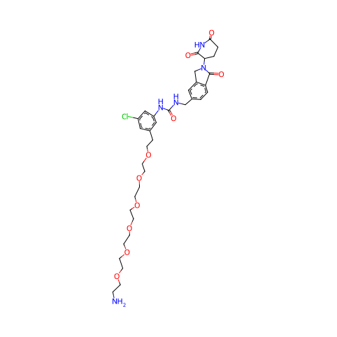 NCCOCCOCCOCCOCCOCCOCCc1cc(Cl)cc(NC(=O)NCc2ccc3c(c2)CN(C2CCC(=O)NC2=O)C3=O)c1